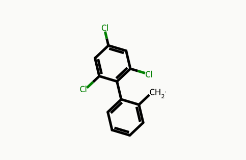 [CH2]c1ccccc1-c1c(Cl)cc(Cl)cc1Cl